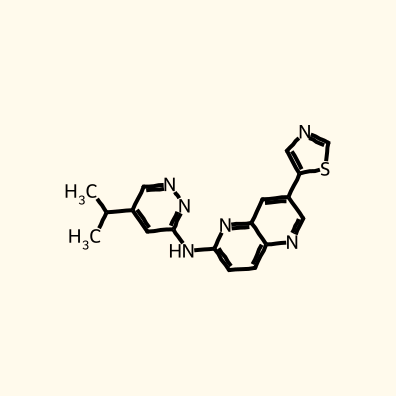 CC(C)c1cnnc(Nc2ccc3ncc(-c4cncs4)cc3n2)c1